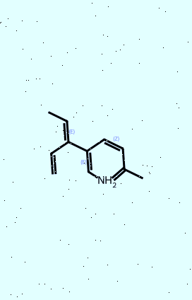 C=CC(=C\C)/C(/C=C\C(=C)C)=C/N